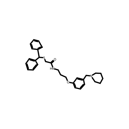 O=C(CSC(c1ccccc1)c1ccccc1)NCCCOc1cccc(CN2CCCCC2)c1